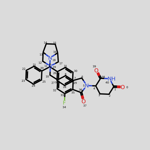 O=C1CCC(N2Cc3cc(CN4CC5CCC(C4)N5C(c4ccccc4)c4ccccc4)cc(F)c3C2=O)C(=O)N1